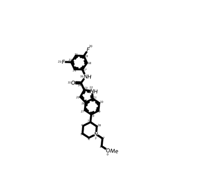 COCCN1CCCC(c2ccc3[nH]c(C(=O)Nc4cc(F)cc(F)c4)cc3c2)C1